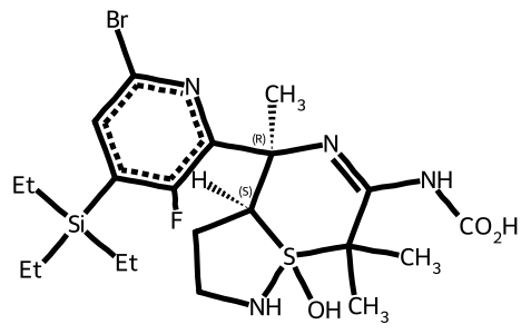 CC[Si](CC)(CC)c1cc(Br)nc([C@@]2(C)N=C(NC(=O)O)C(C)(C)S3(O)NCC[C@@H]23)c1F